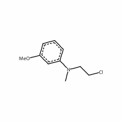 COc1cccc(N(C)CCCl)c1